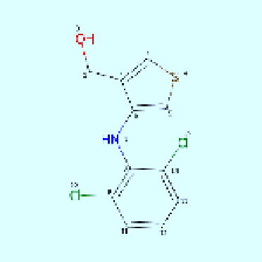 OCc1cscc1Nc1c(Cl)cccc1Cl